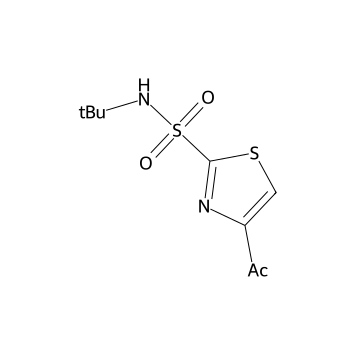 CC(=O)c1csc(S(=O)(=O)NC(C)(C)C)n1